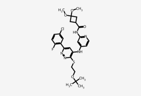 COC1(OC)CC(C(=O)Nc2cc(Nc3cc(-c4cc(Cl)ccc4F)nnc3SCCOC(C)(C)C)ccn2)C1